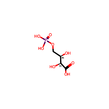 O=C(O)[C@@H](O)[C@H](O)COP(=O)(O)O